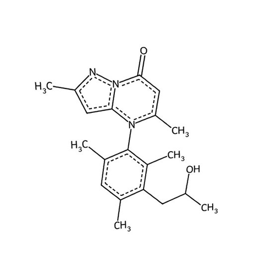 Cc1cc2n(-c3c(C)cc(C)c(CC(C)O)c3C)c(C)cc(=O)n2n1